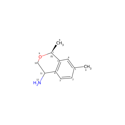 Cc1ccc2c(c1)[C@H](C)OCC2N